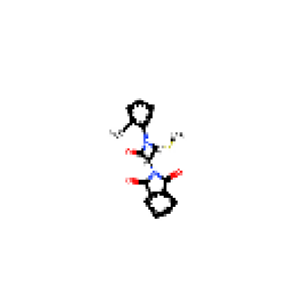 [CH2]c1ccccc1N1C(=O)[C@@H](N2C(=O)c3ccccc3C2=O)[C@H]1SC